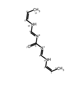 C/C=C\N/C=N/C(=O)/N=C/N/C=C\C